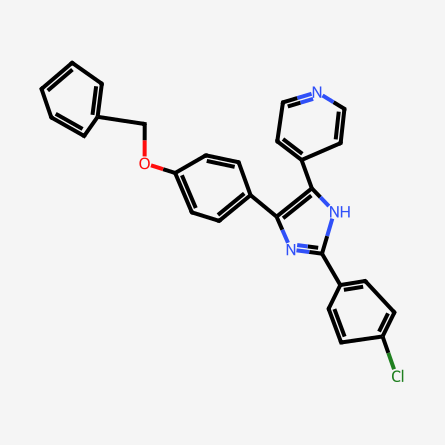 Clc1ccc(-c2nc(-c3ccc(OCc4ccccc4)cc3)c(-c3ccncc3)[nH]2)cc1